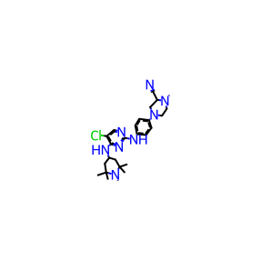 CN1CCN(c2ccc(Nc3ncc(Cl)c(NC4CC(C)(C)N(C)C(C)(C)C4)n3)cc2)CC1C#N